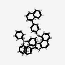 c1ccc(-c2nc3ccc4cccc(N(c5ccc(-c6cccc7ccccc67)cc5)c5ccc6c7ccccc7n(-c7ccccc7)c6c5)c4c3o2)cc1